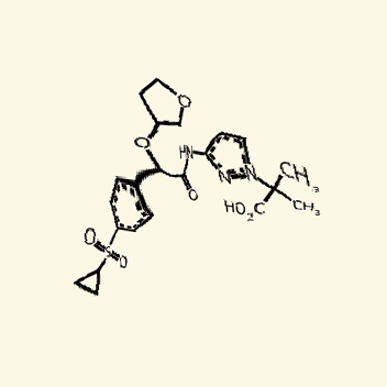 CC(C)(C(=O)O)n1ccc(NC(=O)C(OC2CCOC2)c2ccc(S(=O)(=O)C3CC3)cc2)n1